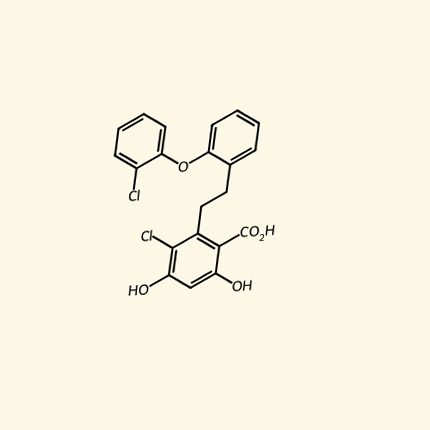 O=C(O)c1c(O)cc(O)c(Cl)c1CCc1ccccc1Oc1ccccc1Cl